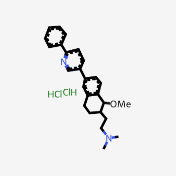 COC1c2ccc(-c3ccc(-c4ccccc4)nc3)cc2CCC1CCN(C)C.Cl.Cl